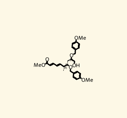 COC(=O)C=CC=C[C@@H](C)[C@H](C[C@H](CO)OCc1ccc(OC)cc1)OCc1ccc(OC)cc1